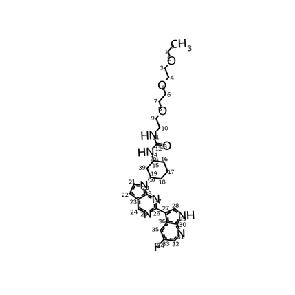 CCOCCOCCOCCNC(=O)N[C@@H]1CCC[C@H](n2ccc3cnc(-c4c[nH]c5ncc(F)cc45)nc32)C1